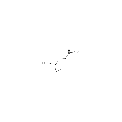 O=CNCOC1(C(=O)O)CC1